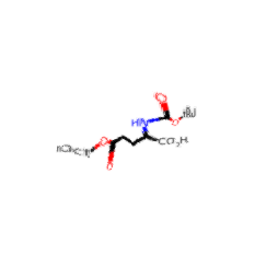 CCCCCCCCOC(=O)CCC(NC(=O)OC(C)(C)C)C(=O)O